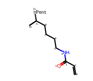 C=CC(=O)NCCCCC(C)CCCCC